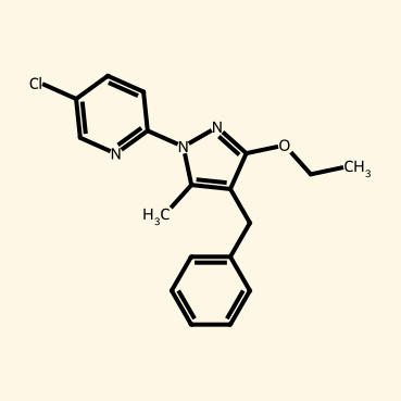 CCOc1nn(-c2ccc(Cl)cn2)c(C)c1Cc1ccccc1